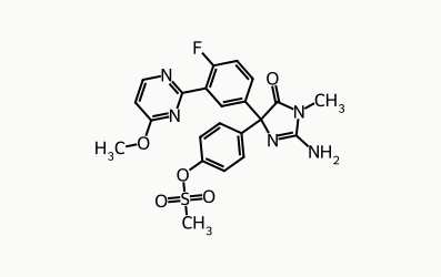 COc1ccnc(-c2cc(C3(c4ccc(OS(C)(=O)=O)cc4)N=C(N)N(C)C3=O)ccc2F)n1